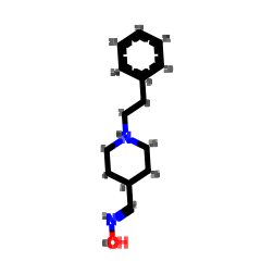 ON=CC1CCN(CCc2ccccc2)CC1